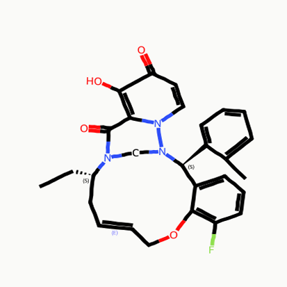 CC[C@H]1C/C=C/COc2c(F)cccc2[C@H](c2ccccc2C)N2CN1C(=O)c1c(O)c(=O)ccn12